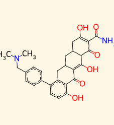 CN(C)Cc1ccc(-c2ccc(O)c3c2CC2CC4CC(O)=C(C(N)=O)C(=O)C4C(O)=C2C3=O)cc1